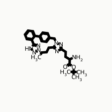 CCCCc1nc(CCC(N)C(=O)OC(C)(C)C)nn1Cc1ccc(-c2ccccc2-c2nnn[nH]2)cc1